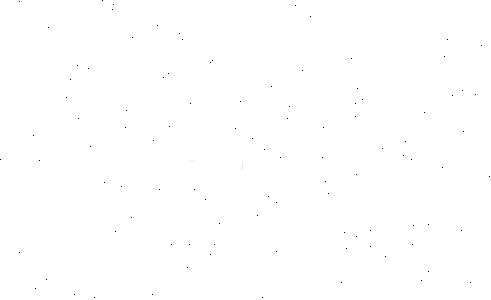 FC(F)(F)C[I+]c1ccccc1